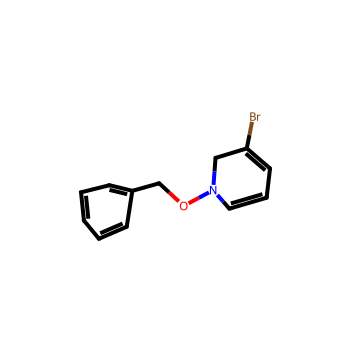 BrC1=CC=CN(OCc2ccccc2)C1